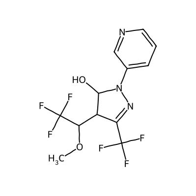 COC(C1C(C(F)(F)F)=NN(c2cccnc2)C1O)C(F)(F)F